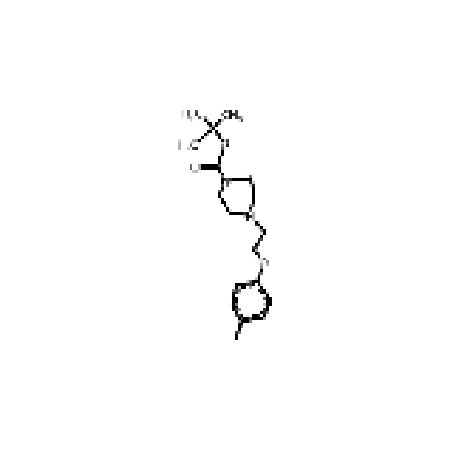 CC(C)(C)OC(=O)N1CCN(CCOc2ccc(I)cc2)CC1